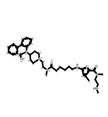 CNCCN(C)C(=O)c1sc(NCCCCCC(=O)N(C)CCN2CCC(N(C(=O)O)c3ccccc3-c3ccccc3)CC2)cc1C